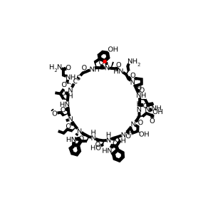 CCCC[C@H]1C(=O)N(C)[C@@H](CCOC)C(=O)N[C@@H](CC(C)C)C(=O)N[C@H](C(=O)NCC(N)=O)CSCC(=O)N[C@@H](Cc2ccc(O)cc2)C(=O)N(C)[C@@H](C)C(=O)N[C@@H](CCN)C(=O)N2CCC[C@H]2C(=O)N[C@@H](Cc2c[nH]cn2)C(=O)N[C@@H](CCC(=O)O)C(=O)N2C[C@H](O)C[C@H]2C(=O)N[C@@H](Cc2c[nH]c3ccccc23)C(=O)N[C@@H](CO)C(=O)N[C@@H](Cc2c[nH]c3ccccc23)C(=O)N1C